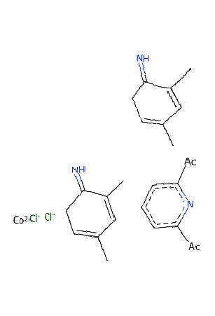 CC(=O)c1cccc(C(C)=O)n1.CC1=CCC(=N)C(C)=C1.CC1=CCC(=N)C(C)=C1.[Cl-].[Cl-].[Co+2]